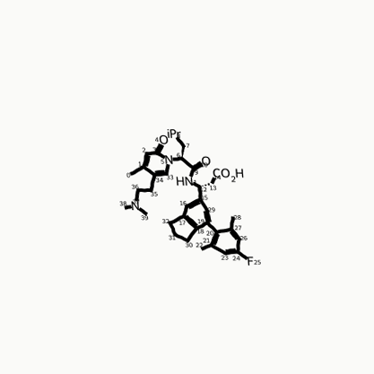 Cc1cc(=O)n([C@@H](CC(C)C)C(=O)N[C@H](CC(=O)O)c2cc3c(c(-c4c(C)cc(F)cc4C)c2)CCC3)cc1CCN(C)C